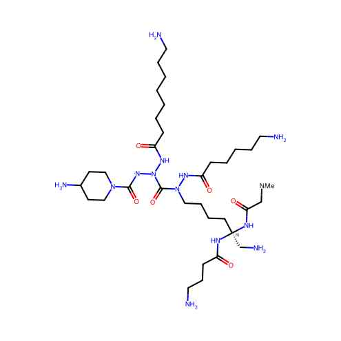 CNCC(=O)N[C@](CN)(CCCCN(NC(=O)CCCCCN)C(=O)N([N]C(=O)N1CCC(N)CC1)NC(=O)CCCCCCCN)NC(=O)CCCN